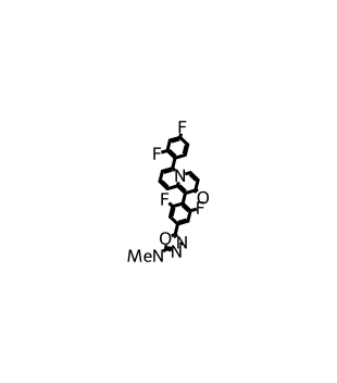 CNc1nnc(-c2cc(F)c(-c3c(=O)ccn4c(-c5ccc(F)cc5F)cccc34)c(F)c2)o1